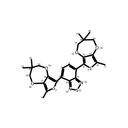 Cc1sc(-c2ccc(-c3sc(C)c4c3OCC(C)(C)CO4)c3nsnc23)c2c1OCC(C)(C)CO2